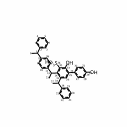 CC(c1ccccc1)c1ccc(C(C)c2c(C(C)c3ccccc3)cc(-c3ccc(O)cc3)c(O)c2S(=O)(=O)O)cc1